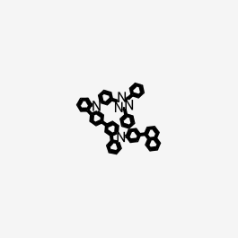 c1ccc(-c2nc(-c3ccccc3)nc(-c3cccc(-n4c5ccccc5c5ccc(-c6ccc7c(c6)c6ccccc6n7-c6ccc(-c7cccc8ccccc78)cc6)cc54)c3)n2)cc1